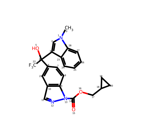 Cn1cc(C(O)(c2ccc3c(cnn3C(=O)OCC3CC3)c2)C(F)(F)F)c2ccccc21